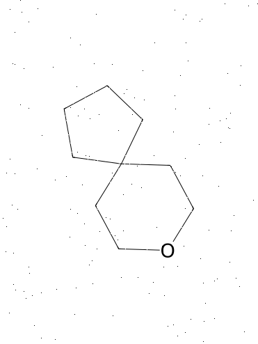 C1CCC2(C1)CCOCC2